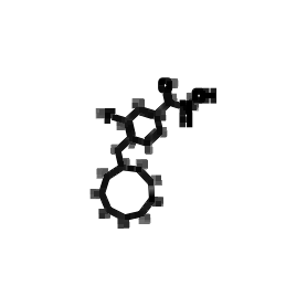 O=C(NO)c1ccc(CC2CCCCCCCC2)c(F)c1